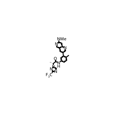 CNc1cc2ncc(-c3cc(NC(=O)[C@@H](C)n4cnc(C(F)(F)F)n4)ccc3C)cc2cn1